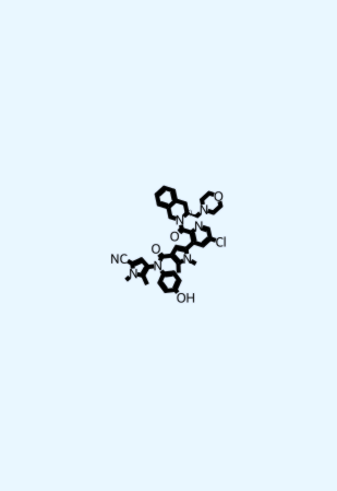 Cc1c(N(C(=O)c2cc(-c3cc(Cl)cnc3C(=O)N3Cc4ccccc4C[C@H]3CN3CCOCC3)n(C)c2C)c2ccc(O)cc2)cc(C#N)n1C